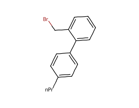 CCCc1ccc(-c2ccccc2CBr)cc1